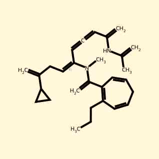 C=C(C)NC(=C)C=C=C/C(=C\CC(=C)C1CC1)N(C)C(=C)C1=C(CCC)C=CCC=C1